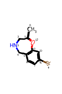 CC1CNCc2ccc(Br)cc2O1